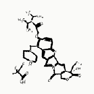 CC[C@@]1(O)C(=O)OCc2c1cc1n(c2=O)Cc2cc3c(CN4CCNCC4)c(OC(=O)N(C(C)C)C(C)C)ccc3nc2-1.O=C(O)C(F)(F)F